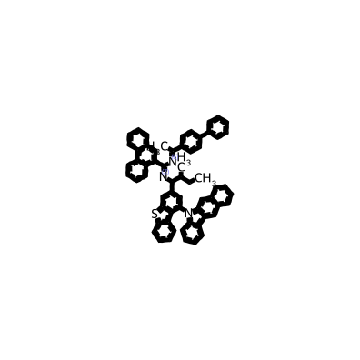 CCC(C)C(/N=C(\N=C(/C)c1ccc(-c2ccccc2)cc1)c1cc2ccccc2c2ccccc12)c1cc(-n2c3ccccc3c3cc4ccccc4cc32)c2c(c1)sc1ccccc12